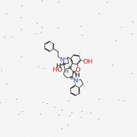 Cc1ccc(O)c2c1[C@]13C4CN(CCc5ccccc5)[C@H]4[C@]1(O)CC[C@@H](N1CCc4ccccc41)[C@@H]3O2